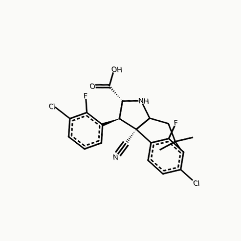 CC(C)(C)CC1N[C@@H](C(=O)O)[C@H](c2cccc(Cl)c2F)[C@]1(C#N)c1ccc(Cl)cc1F